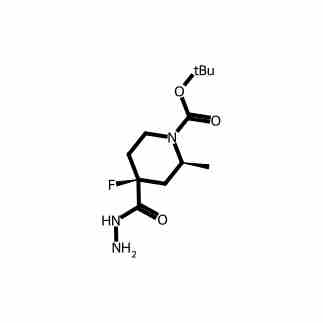 C[C@H]1C[C@](F)(C(=O)NN)CCN1C(=O)OC(C)(C)C